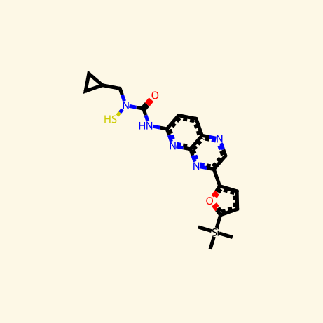 C[Si](C)(C)c1ccc(-c2cnc3ccc(NC(=O)N(S)CC4CC4)nc3n2)o1